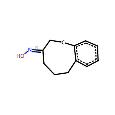 O/N=C1\CCCc2ccccc2CC1